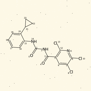 O=C(NC(=O)c1cc(Cl)c(Cl)nc1Cl)Nc1ccccc1C1CC1